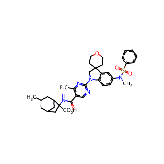 CC1CC2CC(C1)C(NC(=O)c1cnc(N3CC4(CCOCC4)c4cc(N(C)S(=O)(=O)c5ccccc5)ccc43)nc1C(F)(F)F)(C(=O)O)C2